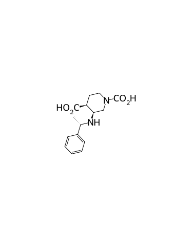 C[C@H](N[C@@H]1CN(C(=O)O)CC[C@@H]1C(=O)O)c1ccccc1